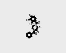 C[C@H]1c2nnc(-c3ccccc3)n2CCN1C(=O)c1ccc(F)c(Cl)c1Cl